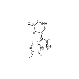 Cc1ccc2c([C@@H]3CNC[C@H](C)C3)c[nH]c2n1